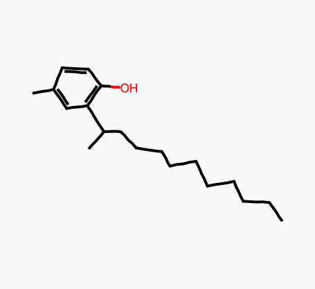 CCCCCCCCCCC(C)c1cc(C)ccc1O